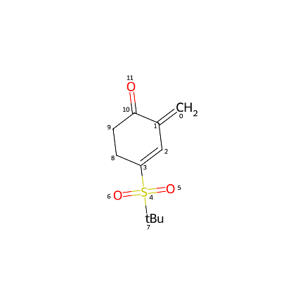 C=C1C=C(S(=O)(=O)C(C)(C)C)CCC1=O